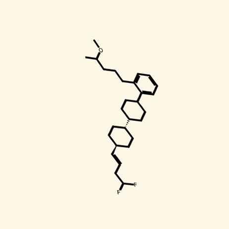 COC(C)CCCc1ccccc1C1CCC([C@H]2CC[C@H](/C=C/CC(F)F)CC2)CC1